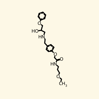 CCOCCCNC(=O)COc1ccc(CCNCC(O)COc2ccccc2)cc1